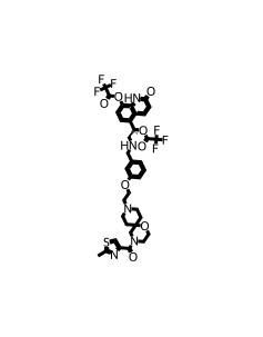 Cc1nc(C(=O)N2CCOC3(CCN(CCOc4cccc(CNC[C@H](OC(=O)C(F)(F)F)c5ccc(OC(=O)C(F)(F)F)c6[nH]c(=O)ccc56)c4)CC3)C2)cs1